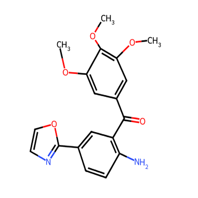 COc1cc(C(=O)c2cc(-c3ncco3)ccc2N)cc(OC)c1OC